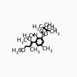 C=Nc1c(B2OC(C)(C)C(C)(C)O2)cc(C)cc1/C(OC)=C(\C)COC